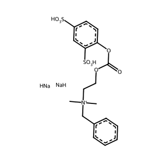 C[N+](C)(CCOC(=O)Oc1ccc(S(=O)(=O)O)cc1S(=O)(=O)O)Cc1ccccc1.[NaH].[NaH]